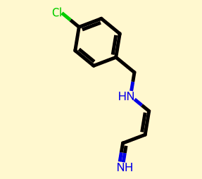 N=C/C=C\NCc1ccc(Cl)cc1